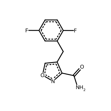 NC(=O)c1nocc1Cc1cc(F)ccc1F